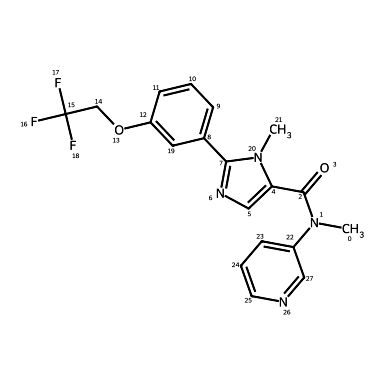 CN(C(=O)c1cnc(-c2cccc(OCC(F)(F)F)c2)n1C)c1cccnc1